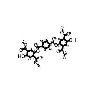 COC(=O)c1cc(OC(=O)c2ccc(C(=O)Oc3cc(C(=O)OC)c(O)cc3C(=O)OC)cc2)c(C(=O)OC)cc1O